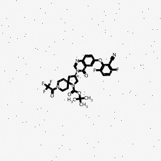 CC(C)(C)OC(=O)N1C[C@H](n2cnc3ccc(Oc4c(F)ccc(F)c4C#N)cc3c2=O)CC12CCN(C(=O)C(F)(F)F)CC2